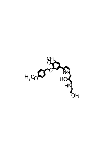 COc1ccc(COc2cc(-c3ccn(CC(O)CNCCO)n3)ccc2OC)cc1